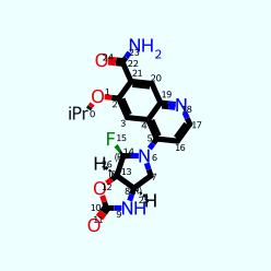 CC(C)Oc1cc2c(N3C[C@H]4NC(=O)O[C@H]4[C@H]3F)ccnc2cc1C(N)=O